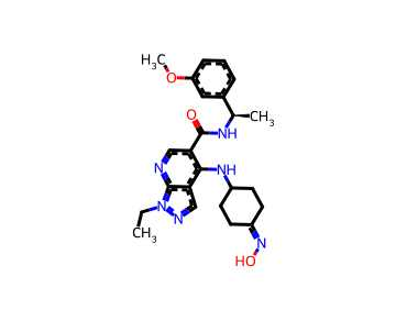 CCn1ncc2c(NC3CCC(=NO)CC3)c(C(=O)N[C@H](C)c3cccc(OC)c3)cnc21